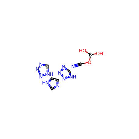 N#COB(O)O.c1c[nH]cn1.c1nnn[nH]1.c1nnn[nH]1